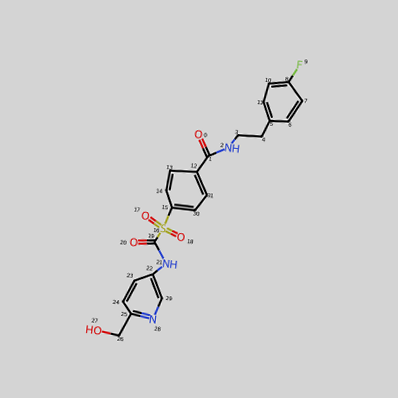 O=C(NCCc1ccc(F)cc1)c1ccc(S(=O)(=O)C(=O)Nc2ccc(CO)nc2)cc1